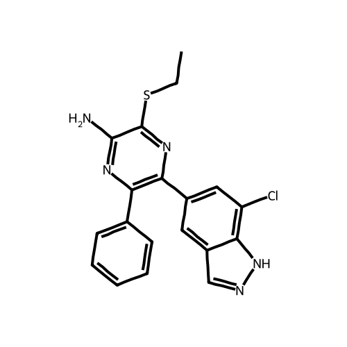 CCSc1nc(-c2cc(Cl)c3[nH]ncc3c2)c(-c2ccccc2)nc1N